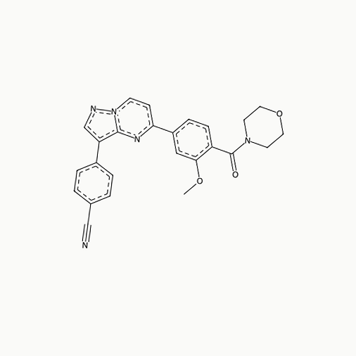 COc1cc(-c2ccn3ncc(-c4ccc(C#N)cc4)c3n2)ccc1C(=O)N1CCOCC1